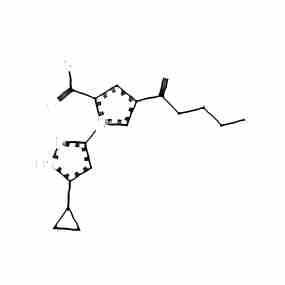 CCCCC(=O)c1cc(C(N)=O)n(-c2cc(C3CC3)[nH]n2)c1